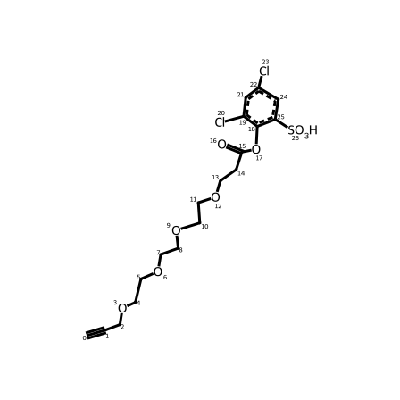 C#CCOCCOCCOCCOCCC(=O)Oc1c(Cl)cc(Cl)cc1S(=O)(=O)O